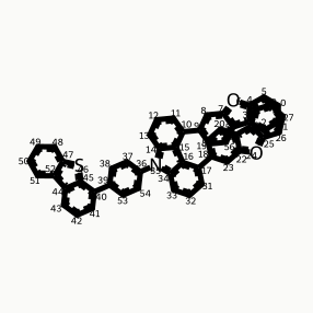 c1ccc2c(c1)oc1cc(-c3cccc4c3c3c(-c5ccc6c(c5)oc5ccccc56)cccc3n4-c3ccc(-c4cccc5c4sc4ccccc45)cc3)ccc12